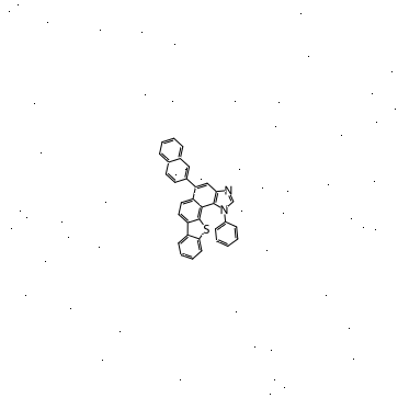 c1ccc(-n2cnc3cc(-c4ccc5ccccc5c4)c4ccc5c6ccccc6sc5c4c32)cc1